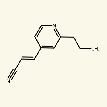 CCCc1cc(C=CC#N)ccn1